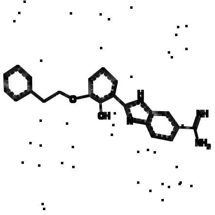 N=C(N)c1ccc2nc(-c3cccc(OCCc4ccccc4)c3O)[nH]c2c1